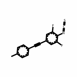 Cc1ccc(C#Cc2cc(F)c(N=C=S)c(F)c2)cc1